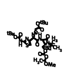 COC(C)OC(=O)OC[C@H]1[C@@H](NC(=O)/C(=N\OCC(=O)OC(C)(C)C)c2csc(NC(=O)OC(C)(C)C)n2)C(=O)N1[Si](C)(C)C(C)(C)C